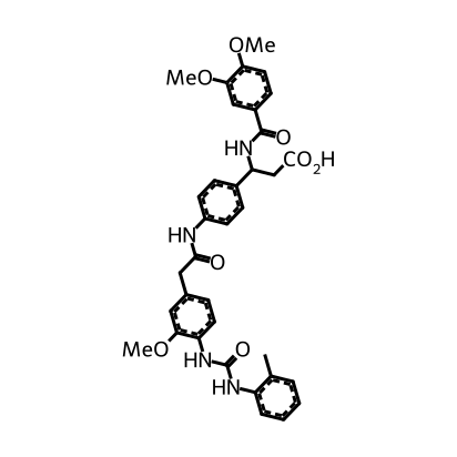 COc1cc(CC(=O)Nc2ccc(C(CC(=O)O)NC(=O)c3ccc(OC)c(OC)c3)cc2)ccc1NC(=O)Nc1ccccc1C